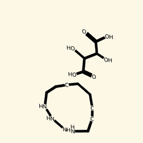 C1CCCCNNNNCCC1.O=C(O)C(O)C(O)C(=O)O